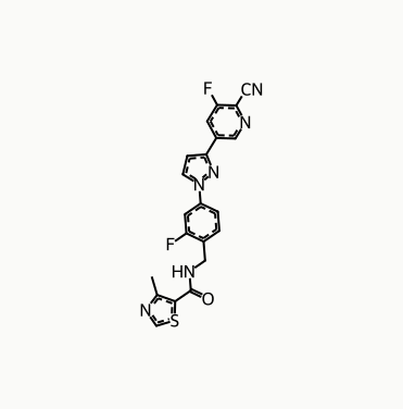 Cc1ncsc1C(=O)NCc1ccc(-n2ccc(-c3cnc(C#N)c(F)c3)n2)cc1F